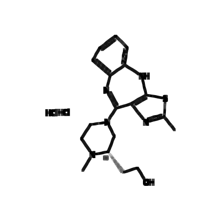 Cc1nc2c(s1)Nc1ccccc1N=C2N1CCN(C)[C@@H](CCO)C1.Cl.Cl